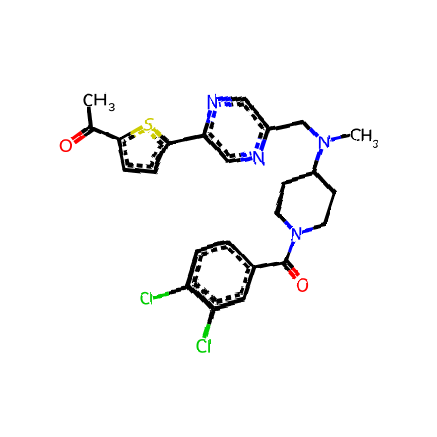 CC(=O)c1ccc(-c2cnc(CN(C)C3CCN(C(=O)c4ccc(Cl)c(Cl)c4)CC3)cn2)s1